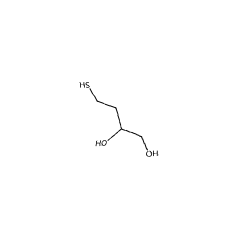 OCC(O)CCS